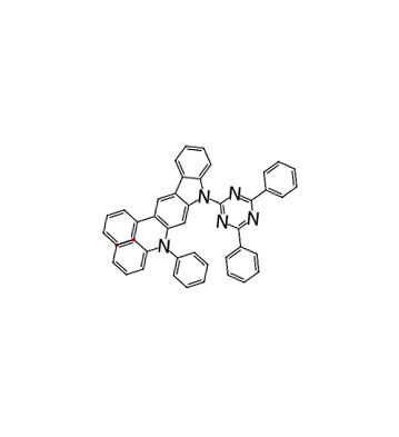 c1ccc(-c2nc(-c3ccccc3)nc(-n3c4ccccc4c4cc(-c5ccccc5)c(N(c5ccccc5)c5ccccc5)cc43)n2)cc1